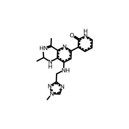 CC(=N)c1nc(-c2ccc[nH]c2=O)cc(NCc2ncn(C)n2)c1NC(C)C